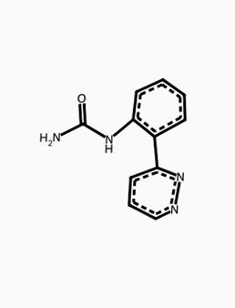 NC(=O)Nc1ccccc1-c1cccnn1